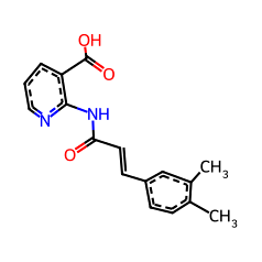 Cc1ccc(/C=C/C(=O)Nc2ncccc2C(=O)O)cc1C